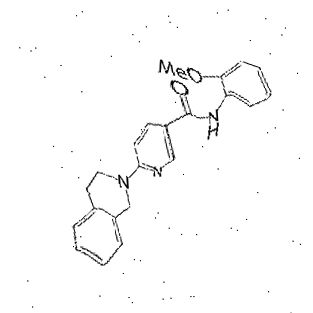 COc1ccccc1NC(=O)c1ccc(N2CCc3ccccc3C2)nc1